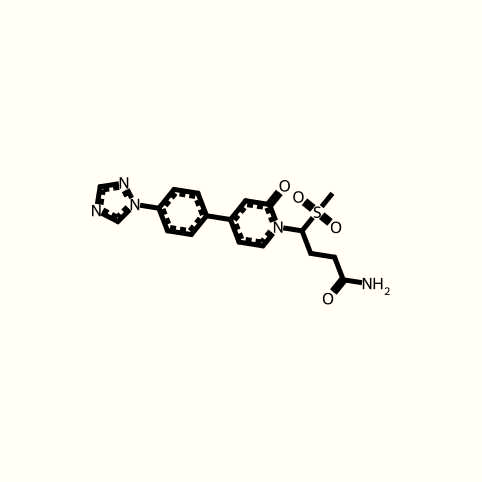 CS(=O)(=O)C(CCC(N)=O)n1ccc(-c2ccc(-n3cncn3)cc2)cc1=O